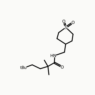 CC(C)(C)CCC(C)(C)C(=O)NCC1CCS(=O)(=O)CC1